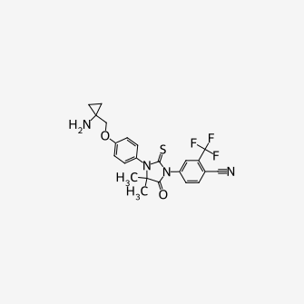 CC1(C)C(=O)N(c2ccc(C#N)c(C(F)(F)F)c2)C(=S)N1c1ccc(OCC2(N)CC2)cc1